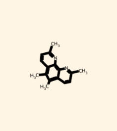 Cc1ccc2c(C)c(C)c3ccc(C)nc3c2n1